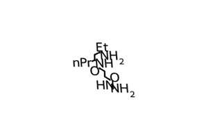 CCCC(CC(N)CC)NC(=O)CCC(=O)NN